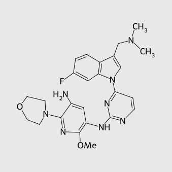 COc1nc(N2CCOCC2)c(N)cc1Nc1nccc(-n2cc(CN(C)C)c3ccc(F)cc32)n1